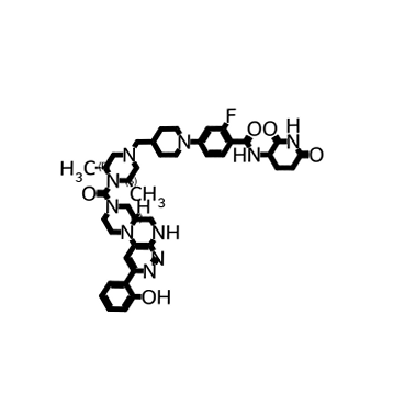 C[C@@H]1CN(CC2CCN(c3ccc(C(=O)NC4CCC(=O)NC4=O)c(F)c3)CC2)C[C@H](C)N1C(=O)N1CCN2c3cc(-c4ccccc4O)nnc3NC[C@H]2C1